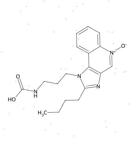 CCCCc1nc2c[n+]([O-])c3ccccc3c2n1CCCNC(=O)O